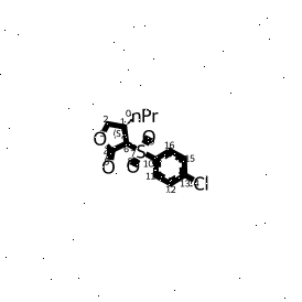 CCC[C@H]1COC(=O)C1S(=O)(=O)c1ccc(Cl)cc1